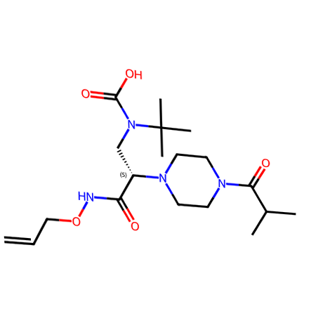 C=CCONC(=O)[C@H](CN(C(=O)O)C(C)(C)C)N1CCN(C(=O)C(C)C)CC1